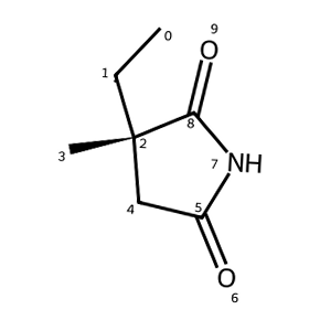 C[CH][C@@]1(C)CC(=O)NC1=O